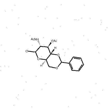 CC(=O)N[C@H]1C(Cl)O[C@@H]2COC(c3ccccc3)O[C@H]2[C@@H]1OC(C)=O